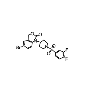 O=C1OCc2cc(Br)ccc2N1C1CCN(S(=O)(=O)c2ccc(F)c(F)c2)CC1